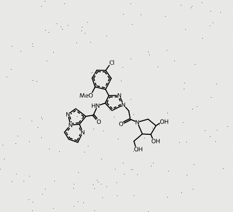 COc1ccc(Cl)cc1-c1nn(CC(=O)N2CC(O)C(O)C2CO)cc1NC(=O)c1cnn2cccnc12